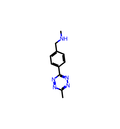 CNCc1ccc(-c2nnc(C)nn2)cc1